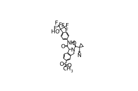 CS(=O)(=O)c1ccc2c(c1)CN(C(=O)C1(C#N)CC1)C2C(=O)Nc1ccc(C(O)(C(F)(F)F)C(F)(F)F)cc1